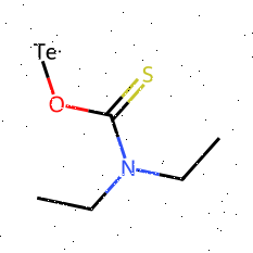 CCN(CC)C(=S)O[Te]